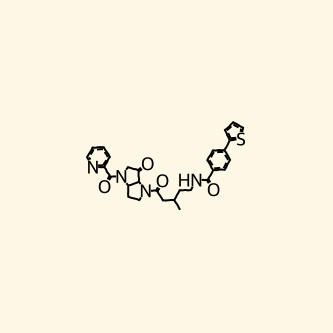 CC(CCNC(=O)c1ccc(-c2cccs2)cc1)CC(=O)N1CCC2C1C(=O)CN2C(=O)c1ccccn1